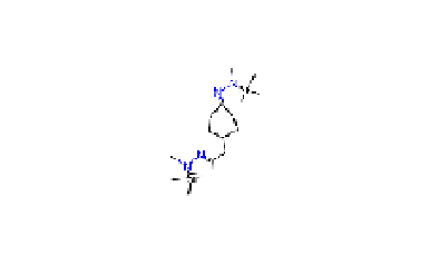 CC(CC1CCC(=NN(C)[Si](C)(C)C)CC1)=NN(C)[Si](C)(C)C